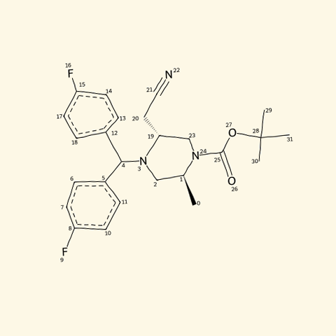 C[C@H]1CN(C(c2ccc(F)cc2)c2ccc(F)cc2)[C@H](CC#N)CN1C(=O)OC(C)(C)C